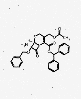 CC(=O)OCC1=C(C(=O)OC(c2ccccc2)c2ccccc2)N2C(=O)[C@@](N)(OCc3ccccc3)[C@H]2SC1